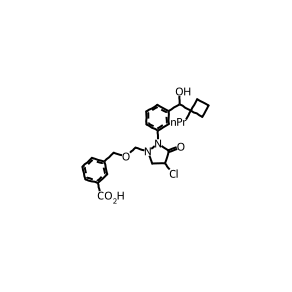 CCCC1(C(O)c2cccc(N3C(=O)C(Cl)CN3COCc3cccc(C(=O)O)c3)c2)CCC1